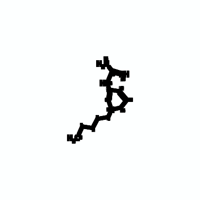 CCCCCN1C=C(NC(=N)N)C=CC1